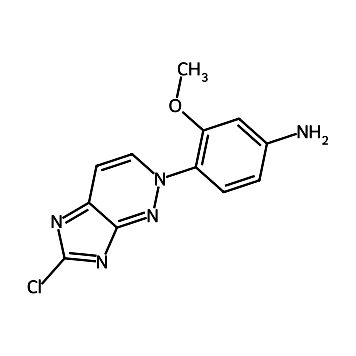 COc1cc(N)ccc1-n1ccc2nc(Cl)nc-2n1